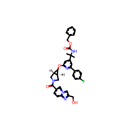 CC(C)(NC(=O)OCc1ccccc1)c1cc(OC2[C@H]3CN(C(=O)c4ccc5nc(CO)cn5c4)C[C@@H]23)nc(-c2ccc(F)cc2)c1